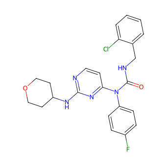 O=C(NCc1ccccc1Cl)N(c1ccc(F)cc1)c1ccnc(NC2CCOCC2)n1